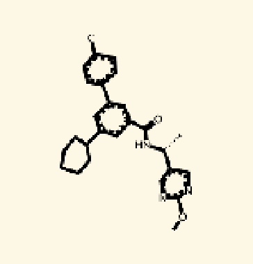 COc1ncc([C@@H](C)NC(=O)c2cc(-c3ccc(Cl)cc3)cc(C3CCCCC3)c2)cn1